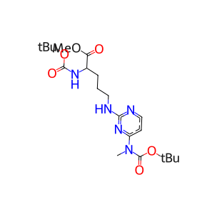 COC(=O)C(CCCNc1nccc(N(C)C(=O)OC(C)(C)C)n1)NC(=O)OC(C)(C)C